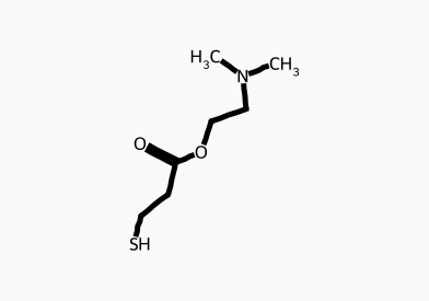 CN(C)CCOC(=O)CCS